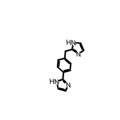 c1c[nH]c(Cc2ccc(-c3ncc[nH]3)cc2)n1